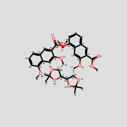 COC(=O)c1cc2cccc(OC)c2cc1OC[C@@H]1OC(C)(C)O[C@H]1[C@H]1OC(C)(C)O[C@@H]1COc1cc2c(OC)cccc2cc1C(=O)OC